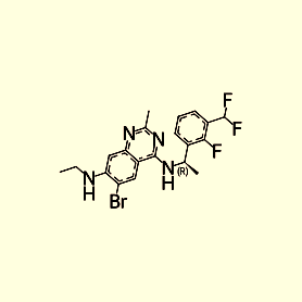 CCNc1cc2nc(C)nc(N[C@H](C)c3cccc(C(F)F)c3F)c2cc1Br